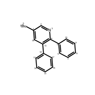 CC(C)(C)c1cnc(-c2ccccc2)c(-c2ccccc2)c1